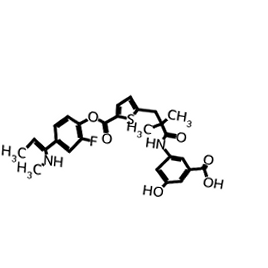 CC=C(NC)c1ccc(OC(=O)c2ccc(CC(C)(C)C(=O)Nc3cc(O)cc(C(=O)O)c3)s2)c(F)c1